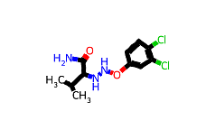 CC(C)C(NNOc1ccc(Cl)c(Cl)c1)C(N)=O